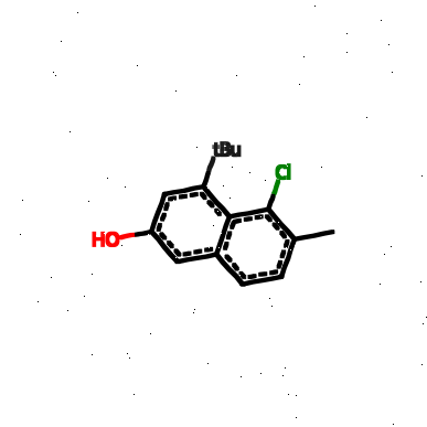 Cc1ccc2cc(O)cc(C(C)(C)C)c2c1Cl